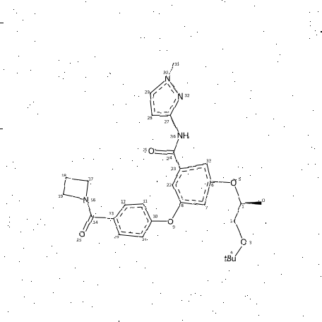 C[C@@H](COC(C)(C)C)Oc1cc(Oc2ccc(C(=O)N3CCC3)cc2)cc(C(=O)Nc2ccn(C)n2)c1